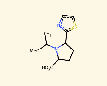 COC(C)N1C(C(=O)O)CCC1c1nccs1